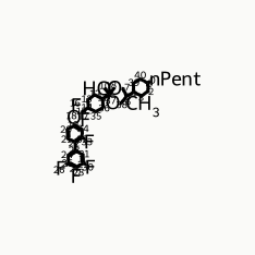 CCCCCC1CCC(C2(C)COC(O)(C3CCC(C(F)(F)Oc4ccc(-c5cc(F)c(F)c(F)c5)c(F)c4)CC3)OC2)CC1